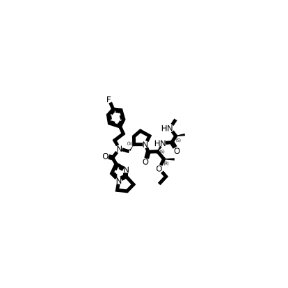 CCO[C@H](C)[C@H](NC(=O)[C@H](C)NC)C(=O)N1CCC[C@H]1CN(CCc1ccc(F)cc1)C(=O)c1cn2c(n1)CCC2